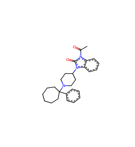 CC(=O)n1c(=O)n(C2CCN(C3(c4ccccc4)CCCCCC3)CC2)c2ccccc21